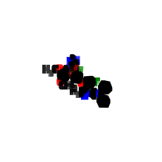 COc1ccc(CN(c2ncns2)S(=O)(=O)c2cc(C)c(Oc3ccc(F)cc3-c3ccnn3C3CN(C(c4ccccc4)c4ccccc4)C3)cc2F)c(OC)c1